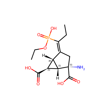 CCOP(=O)(O)C(CC)=C1C[C@@](N)(C(=O)O)[C@@H]2[C@@H](C(=O)O)[C@H]12